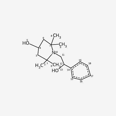 CC1(C)CC(O)CC(C)(C)N1CC(O)c1ccccc1